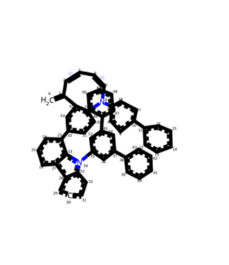 C=C1/C=C\C=C/N(c2ccc(-c3ccccc3)cc2)c2ccc(-c3cccc4c5ccccc5n(-c5cc(-c6ccccc6)cc(-c6ccccc6)c5)c34)cc21